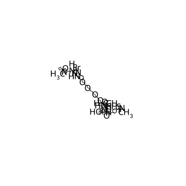 Cc1ncsc1-c1ccc(CNC(=O)[C@@H]2C[C@@H](O)CN2C(=O)C(NC(=O)COCCCOCCCCOCCCOc2cccc(Nc3ncc(Br)c(NCCCN(C)C(=O)C4CCC4)n3)c2)C(C)(C)C)cc1